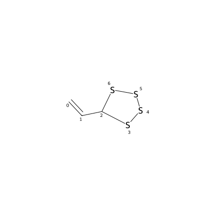 C=CC1SSSS1